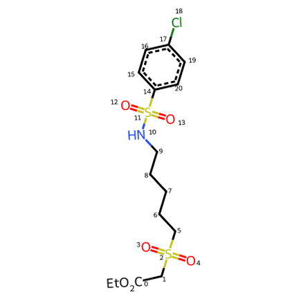 CCOC(=O)CS(=O)(=O)CCCCCNS(=O)(=O)c1ccc(Cl)cc1